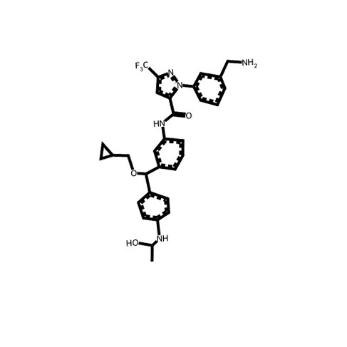 CC(O)Nc1ccc(C(OCC2CC2)c2cccc(NC(=O)c3cc(C(F)(F)F)nn3-c3cccc(CN)c3)c2)cc1